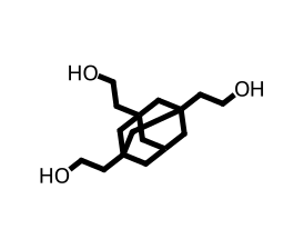 OCCC12CC3CC(CCO)(C1)CC(CCO)(C3)C2